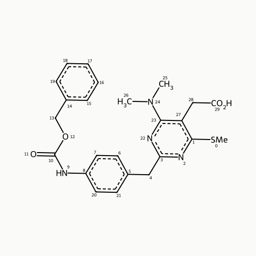 CSc1nc(Cc2ccc(NC(=O)OCc3ccccc3)cc2)nc(N(C)C)c1CC(=O)O